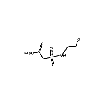 COC(=O)CS(=O)(=O)NCCCl